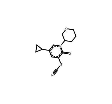 N#CSc1cc(C2CC2)cn(C2CCCOC2)c1=O